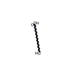 O=C(O)/C=C/C=C/CCCCCCCCCCCCCO